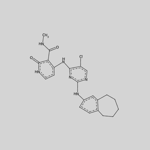 CNC(=O)c1c(Nc2nc(Nc3ccc4c(c3)CCCCC4)ncc2Cl)cc[nH]c1=O